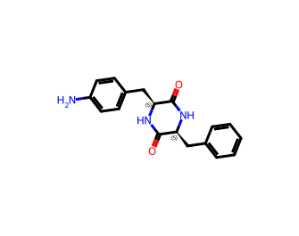 Nc1ccc(C[C@@H]2NC(=O)[C@H](Cc3ccccc3)NC2=O)cc1